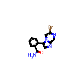 NC(=O)c1ccccc1-c1cnc2cnc(Br)cn12